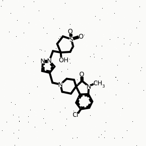 CN1C(=O)C2(CCN(Cc3cnn(CC4(O)CCS(=O)(=O)CC4)c3)CC2)c2cc(Cl)ccc21